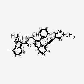 C[C@H](NC(=O)c1c(N)nn2cccnc12)c1nc2cccc(C#Cc3cnn(C)c3)n2c1-c1ccccc1